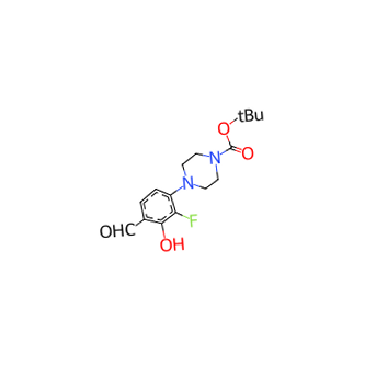 CC(C)(C)OC(=O)N1CCN(c2ccc(C=O)c(O)c2F)CC1